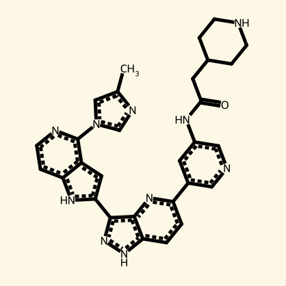 Cc1cn(-c2nccc3[nH]c(-c4n[nH]c5ccc(-c6cncc(NC(=O)CC7CCNCC7)c6)nc45)cc23)cn1